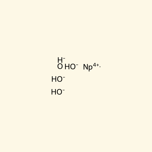 [Np+4].[OH-].[OH-].[OH-].[OH-]